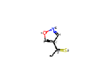 CC(=S)c1cnoc1